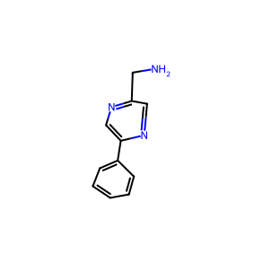 NCc1cnc(-c2ccccc2)cn1